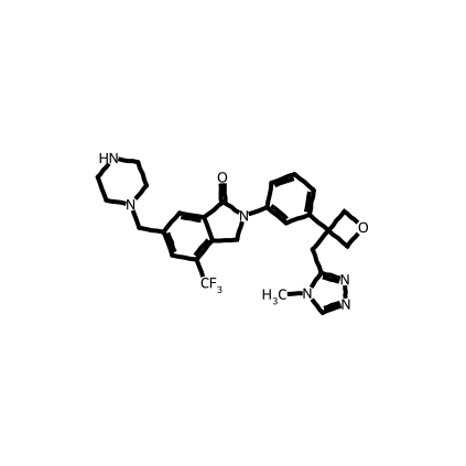 Cn1cnnc1CC1(c2cccc(N3Cc4c(cc(CN5CCNCC5)cc4C(F)(F)F)C3=O)c2)COC1